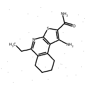 CCc1nc2sc(C(N)=O)c(N)c2c2c1CCCC2